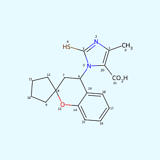 Cc1nc(S)n(C2CC3(CCCC3)Oc3ccccc32)c1C(=O)O